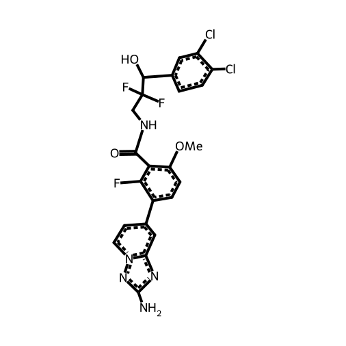 COc1ccc(-c2ccn3nc(N)nc3c2)c(F)c1C(=O)NCC(F)(F)C(O)c1ccc(Cl)c(Cl)c1